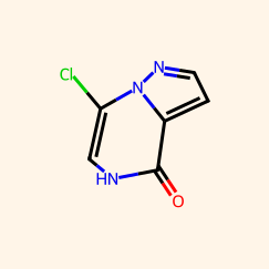 O=c1[nH]cc(Cl)n2nccc12